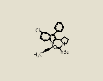 CC#CCn1c(C2CCCN2C(=O)CCCC)c(-c2ccccc2)c2cc(Cl)ccc21